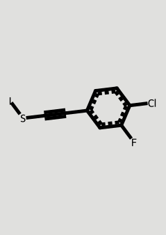 Fc1cc(C#CSI)ccc1Cl